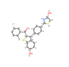 Cc1ccc(F)cc1C(=O)c1sc2cc(O)ccc2c1-c1ccc(-c2nc(O)cs2)cc1